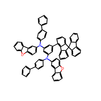 c1ccc(-c2ccc(N(c3cc(-c4cccc5c4-c4ccccc4C54c5ccccc5-c5ccccc54)cc(N(c4ccc(-c5ccccc5)cc4)c4ccc5oc6ccccc6c5c4)c3)c3ccc4oc5ccccc5c4c3)cc2)cc1